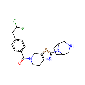 O=C(c1ccc(CC(F)F)cc1)N1CCc2nc(N3C4CCC3CNC4)sc2C1